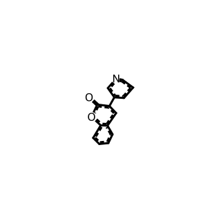 O=c1oc2ccccc2cc1-c1cccnc1